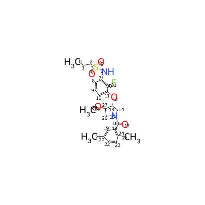 CCCS(=O)(=O)Nc1cccc(O[C@@H]2CN(C(=O)c3cc(C)ccc3C)C[C@H]2OC)c1F